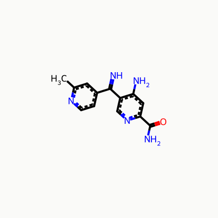 Cc1cc(C(=N)c2cnc(C(N)=O)cc2N)ccn1